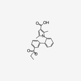 CCS(=O)(=O)c1cccc(-c2ccccc2-n2c(C)cc(C(=O)O)c2C)c1